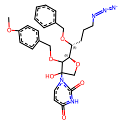 COc1ccc(COC2[C@@H]([C@@H](CCCN=[N+]=[N-])OCc3ccccc3)OCC2(O)n2ccc(=O)[nH]c2=O)cc1